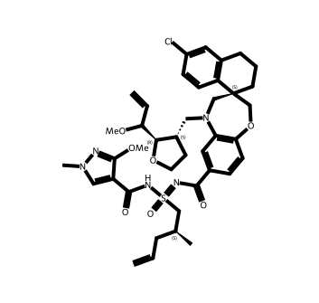 C=CC[C@H](C)CS(=O)(=NC(=O)c1ccc2c(c1)N(C[C@@H]1CCO[C@H]1C(C=C)OC)C[C@@]1(CCCc3cc(Cl)ccc31)CO2)NC(=O)c1cn(C)nc1OC